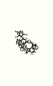 Cc1nn(C)c(C)c1-c1cc2c(n3cnnc13)N(C(=O)O)Cc1c(F)ccc3c1[C@@H](CO3)CO2